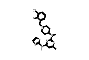 Cc1cc(Nc2nccs2)nc(N(C)C2CCN(Cc3cccc(Cl)c3F)CC2)n1